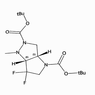 CN1[C@@H]2[C@H](CN1C(=O)OC(C)(C)C)N(C(=O)OC(C)(C)C)CC2(F)F